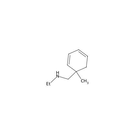 CCNCC1(C)C=CC=CC1